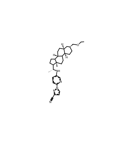 CCOC[C@H]1CC[C@@H]2C3CC[C@@]4(C)C(CCC4[C@@H](C)Nc4ccc(-n5ccc(C#N)n5)nc4)[C@@H]3CC[C@@H]2C1